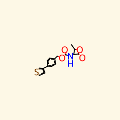 CC1OC(=O)C1NC(=O)OCc1ccc(-c2ccsc2)cc1